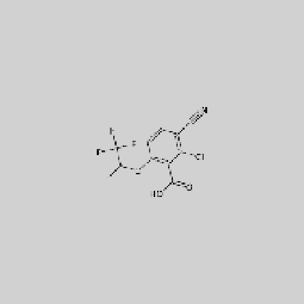 CC(Oc1ccc(C#N)c(Cl)c1C(=O)O)C(F)(F)F